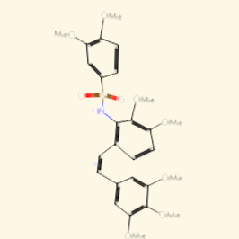 COc1ccc(S(=O)(=O)Nc2c(/C=C\c3cc(OC)c(OC)c(OC)c3)ccc(OC)c2OC)cc1OC